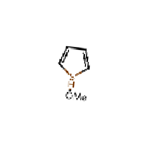 CO[SH]1C=CC=C1